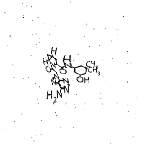 CC1(C)CC(O)CC(NC(=O)[C@@H]2C[C@H]3C[C@H]3N2C(=O)Cn2cnc3c(N)ncnc32)C1